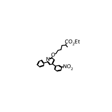 CCOC(=O)C(C)CCCCOc1cc(-c2cccc([N+](=O)[O-])c2)cc(-c2ccccc2)n1